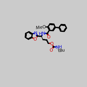 COc1ccc(-c2ccccc2)cc1C(=O)N[C@@H](CCCOC(=O)NC(C)(C)C)c1nc2ccccc2o1